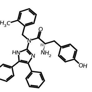 Cc1ccccc1CN(C(=O)[C@@H](N)Cc1ccc(O)cc1)c1nc(-c2ccccc2)c(-c2ccccc2)[nH]1